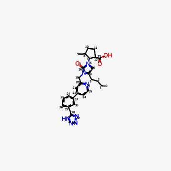 CCCCc1cn(C2C(C)CCC2C(=O)O)c(=O)n1Cc1cc(-c2cccc(-c3nnn[nH]3)c2)ccn1